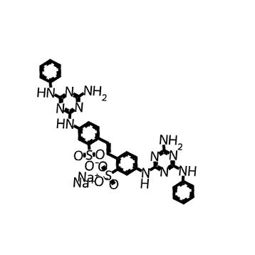 Nc1nc(Nc2ccccc2)nc(Nc2ccc(C=Cc3ccc(Nc4nc(N)nc(Nc5ccccc5)n4)cc3S(=O)(=O)[O-])c(S(=O)(=O)[O-])c2)n1.[Na+].[Na+]